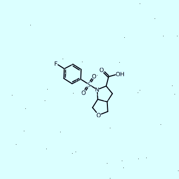 O=C(O)C1CC2COCC2N1S(=O)(=O)c1ccc(F)cc1